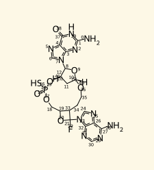 Nc1nc2c(ncn2C2O[C@H]3C[C@@H]2OP(=O)(S)OCC2OC(F)(n4cnc5c(N)ncnc54)C2CCO3)c(=O)[nH]1